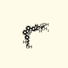 CC(C)(CO)NCc1nc2cc(-c3cccc(-c4cccc(-c5ccc(CNCCO)cc5)c4Cl)c3Cl)ccn2n1